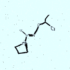 CC(Cl)O/N=[N+](\[O-])N1CCC1